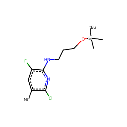 CC(C)(C)[Si](C)(C)OCCCNc1nc(Cl)c(C#N)cc1F